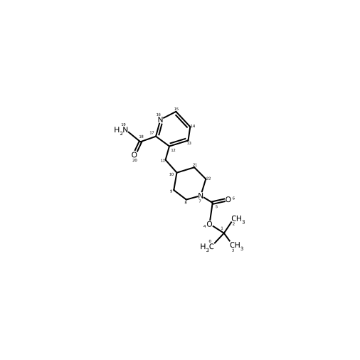 CC(C)(C)OC(=O)N1CCC(Cc2cccnc2C(N)=O)CC1